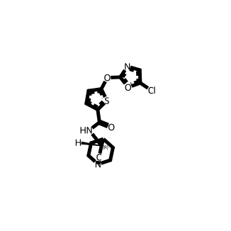 O=C(N[C@H]1CN2CCC1CC2)c1ccc(Oc2ncc(Cl)o2)s1